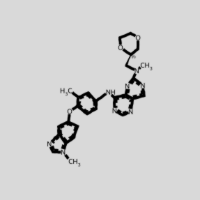 Cc1cc(Nc2ncnc3cnc(N(C)C[C@@H]4COCCO4)nc23)ccc1Oc1ccc2c(c1)ncn2C